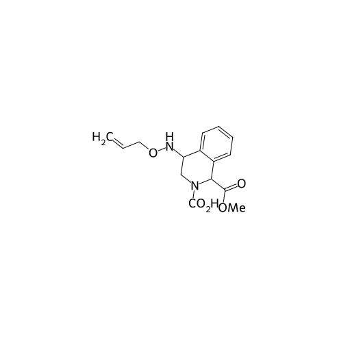 C=CCONC1CN(C(=O)O)C(C(=O)OC)c2ccccc21